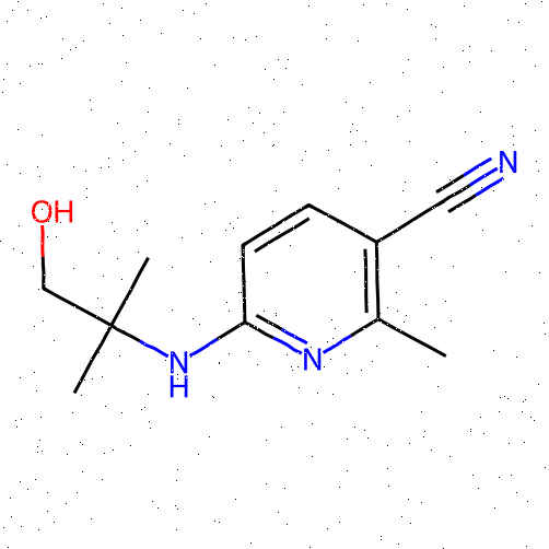 Cc1nc(NC(C)(C)CO)ccc1C#N